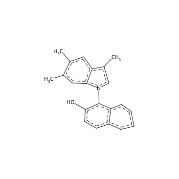 Cc1cc2c(C)cn(-c3c(O)ccc4ccccc34)c2cc1C